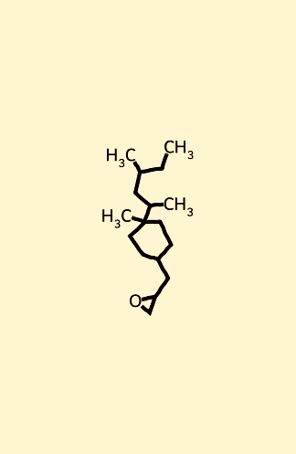 CCC(C)CC(C)C1(C)CCC(CC2CO2)CC1